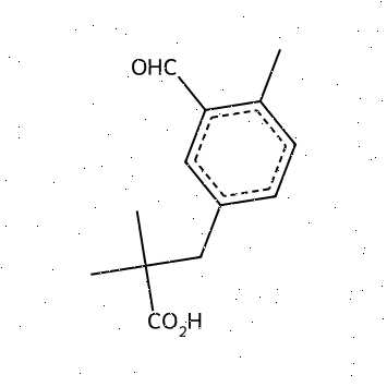 Cc1ccc(CC(C)(C)C(=O)O)cc1C=O